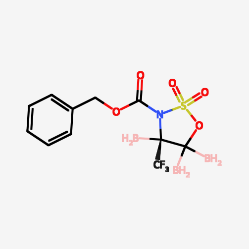 BC1(B)OS(=O)(=O)N(C(=O)OCc2ccccc2)[C@]1(B)C(F)(F)F